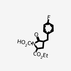 CCOC(=O)C1CC(Cc2ccc(F)cc2)C(=O)N1C(=O)O